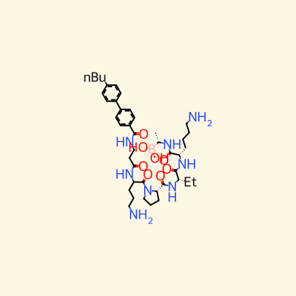 CCCCc1ccc(-c2ccc(C(=O)NCCC(=O)NC(CCCN)C(=O)N3CCC[C@H]3C(=O)N[C@@H](CC)C(=O)N[C@@H](CCCCN)C(=O)N[C@@H](C)B(O)O)cc2)cc1